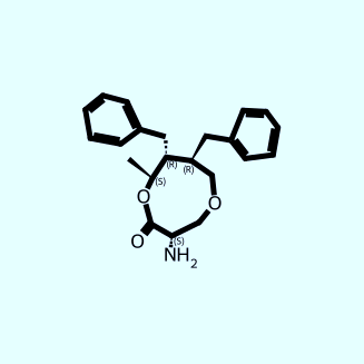 C[C@@H]1OC(=O)[C@@H](N)COC[C@H](Cc2ccccc2)[C@H]1Cc1ccccc1